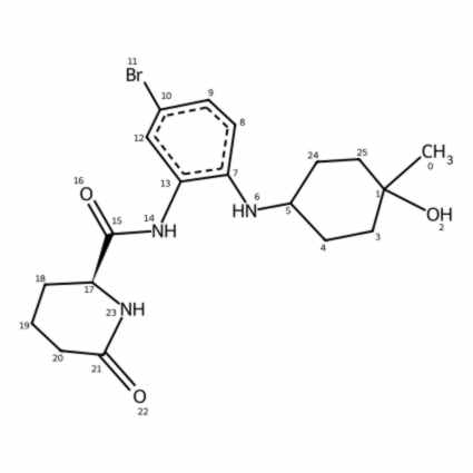 CC1(O)CCC(Nc2ccc(Br)cc2NC(=O)[C@@H]2CCCC(=O)N2)CC1